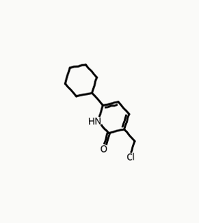 O=c1[nH]c(C2CCCCC2)ccc1CCl